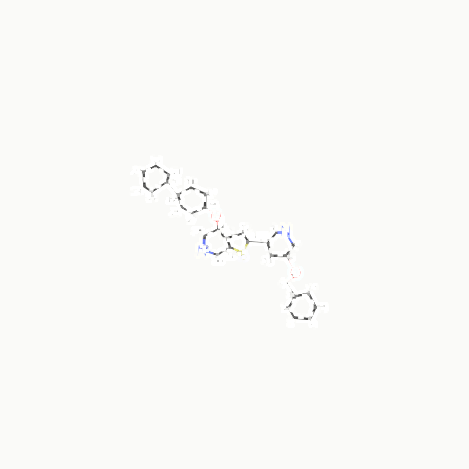 c1ccc(COc2cncc(-c3cc4c(Oc5ccc(-c6ccccc6)cc5)cncc4s3)c2)cc1